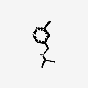 Cc1cc(CNC(C)C)cnn1